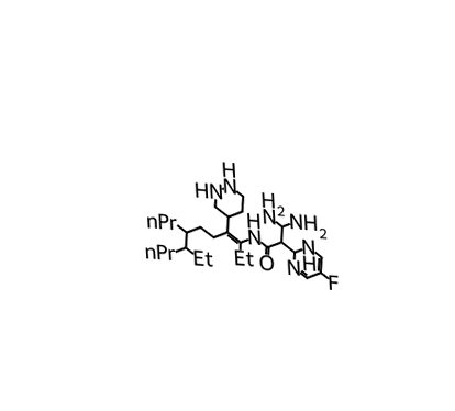 CCCC(CC)C(CCC)CC/C(=C(\CC)NC(=O)C(C(N)N)C1N=CC(F)=CN1)C1CCNNC1